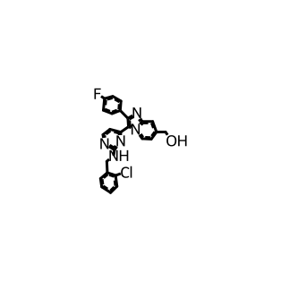 OCc1ccn2c(-c3ccnc(NCc4ccccc4Cl)n3)c(-c3ccc(F)cc3)nc2c1